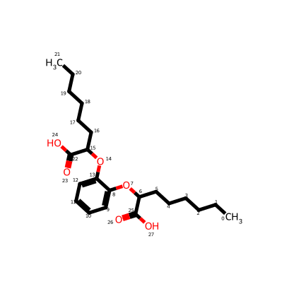 CCCCCCC(Oc1ccccc1OC(CCCCCC)C(=O)O)C(=O)O